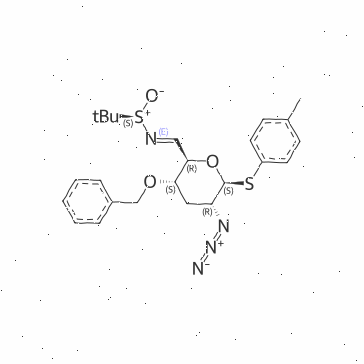 Cc1ccc(S[C@@H]2O[C@H](/C=N/[S@+]([O-])C(C)(C)C)[C@@H](OCc3ccccc3)C[C@H]2N=[N+]=[N-])cc1